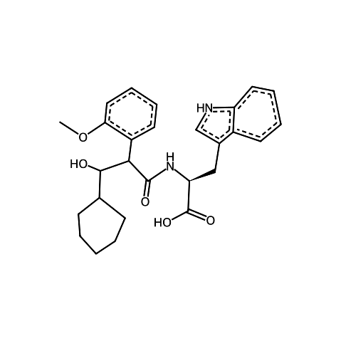 COc1ccccc1C(C(=O)N[C@@H](Cc1c[nH]c2ccccc12)C(=O)O)C(O)C1CCCCC1